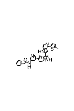 Cc1ccc(-c2nccc3[nH]c(-c4n[nH]c5ccc(-c6cncc(NC(=O)Cc7ccccc7)c6)nc45)cc23)s1